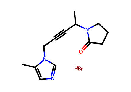 Br.Cc1cncn1CC#CC(C)N1CCCC1=O